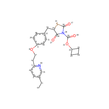 CCc1ccc(CCOc2ccc(CC3SC(=O)N(C(=O)OC4CCC4)C3=O)cc2)nc1